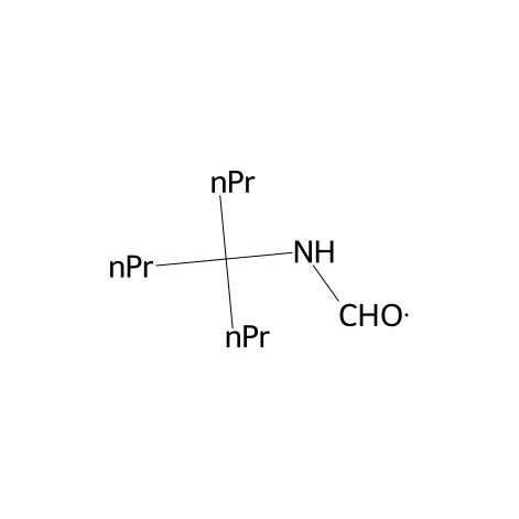 CCCC(CCC)(CCC)N[C]=O